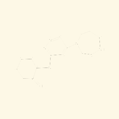 C=C1CCCCC1Nc1cc(N2CCCNCC2)cnn1